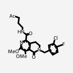 COc1nc(C(=O)NCCCC(C)=O)c2c(c1OC)C(=O)N(Cc1ccc(F)c(Cl)c1)CC2